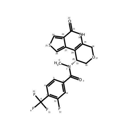 CN(C(=O)c1ccc(C(F)(F)F)c(F)c1)[C@H]1COCc2[nH]c(=O)c3cscc3c21